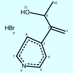 Br.C=C(c1ccncc1)C(C)O